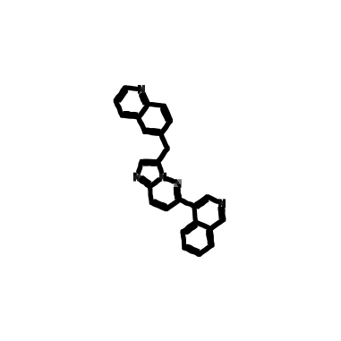 c1cnc2ccc(Cc3cnc4ccc(-c5cncc6ccccc56)nn34)cc2c1